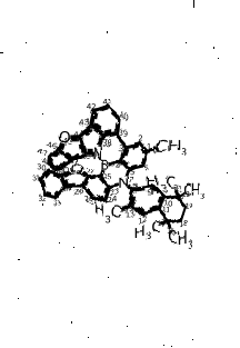 Cc1cc2c3c(c1)N(c1cc4c(cc1C)C(C)(C)CCC4(C)C)c1ccc4c(oc5ccccc54)c1B3n1c3c-2cccc3c2oc3ccccc3c21